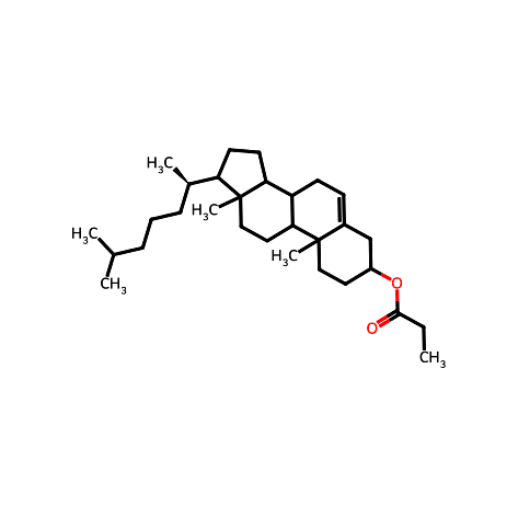 CCC(=O)OC1CCC2(C)C(=CCC3C2CCC2(C)C3CCC2[C@H](C)CCCC(C)C)C1